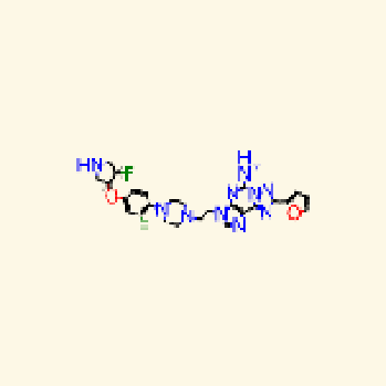 Nc1nc2c(ncn2CCN2CCN(c3ccc(O[C@H]4CNC[C@H]4F)cc3F)CC2)c2nc(-c3ccco3)nn12